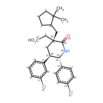 CC1(C)CCCC1C[C@]1(CC(=O)O)C[C@H](c2cccc(Cl)c2)[C@@H](c2ccc(Cl)cc2)NC1=O